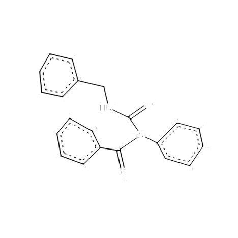 O=C(NCc1ccccc1)N(C(=O)c1ccccc1)c1ccccc1